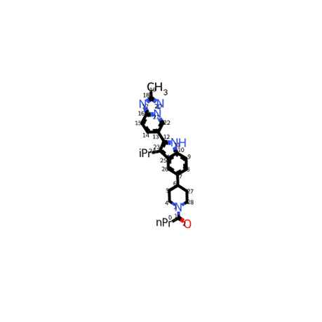 CCCC(=O)N1CCC(c2ccc3[nH]c(-c4ccc5nc(C)nn5c4)c(C(C)C)c3c2)CC1